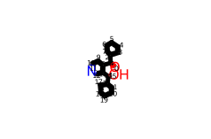 O=C(c1ccccc1)c1ccncc1C(O)c1ccccc1